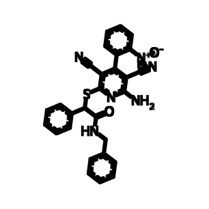 N#Cc1c(N)nc(SC(C(=O)NCc2ccccc2)c2ccccc2)c(C#N)c1-c1ccccc1[N+](=O)[O-]